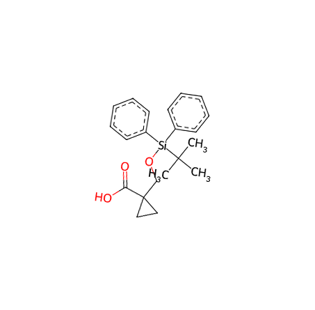 CC(C)(C)[Si](OCC1(C(=O)O)CC1)(c1ccccc1)c1ccccc1